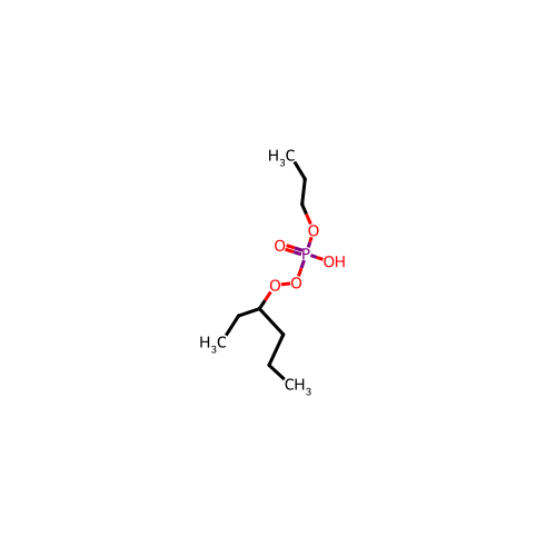 CCCOP(=O)(O)OOC(CC)CCC